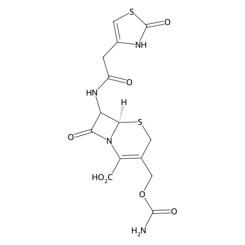 NC(=O)OCC1=C(C(=O)O)N2C(=O)C(NC(=O)Cc3csc(=O)[nH]3)[C@H]2SC1